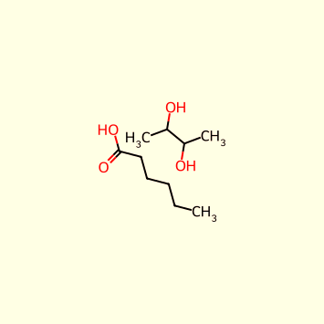 CC(O)C(C)O.CCCCCC(=O)O